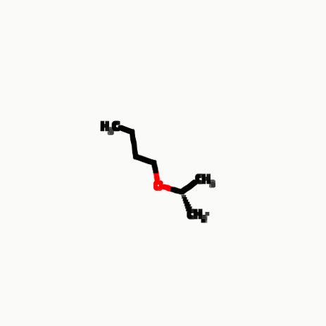 [CH2][C@@H](C)OCCCC